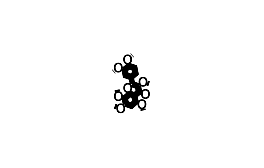 COc1ccc(-c2oc3c(OC)c(OC)cc(OC)c3c(=O)c2OC)cc1OC